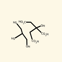 O=C(O)CC(O)(CC(=O)O)C(=O)O.OCC(S)CS